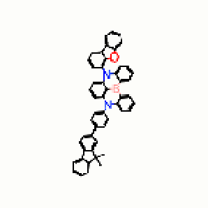 CC1(C)c2ccccc2-c2ccc(-c3ccc(N4c5ccccc5B5c6ccccc6N(c6cccc7c6oc6ccccc67)c6cccc4c65)cc3)cc21